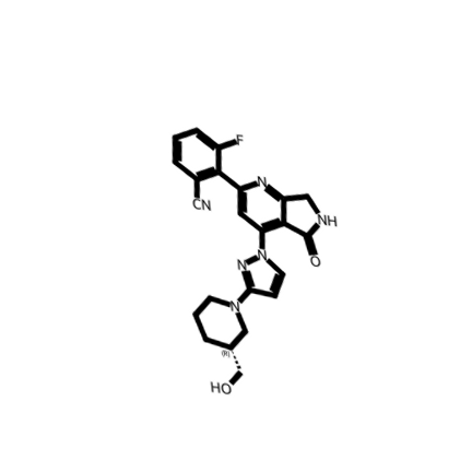 N#Cc1cccc(F)c1-c1cc(-n2ccc(N3CCC[C@@H](CO)C3)n2)c2c(n1)CNC2=O